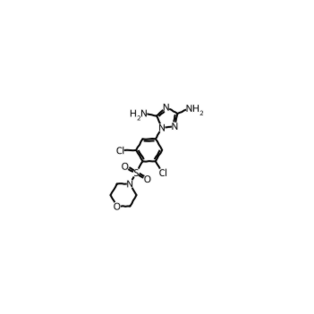 Nc1nc(N)n(-c2cc(Cl)c(S(=O)(=O)N3CCOCC3)c(Cl)c2)n1